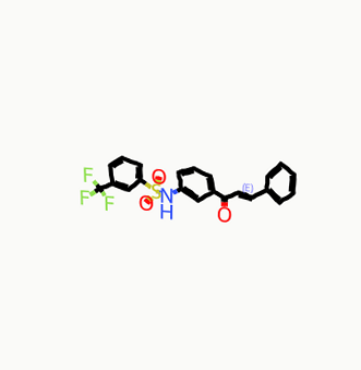 O=C(/C=C/c1ccccc1)c1cccc(NS(=O)(=O)c2cccc(C(F)(F)F)c2)c1